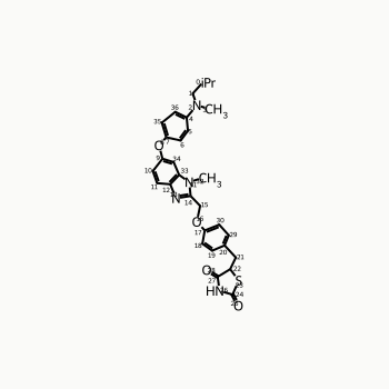 CC(C)CN(C)c1ccc(Oc2ccc3nc(COc4ccc(CC5SC(=O)NC5=O)cc4)n(C)c3c2)cc1